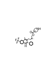 C[C@H](CC[C@@H]1[C@H](C)c2cc(C(F)(F)F)ccc2N[C@H]1c1ccccc1)COC(=O)N1CCNCC1